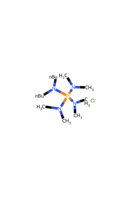 CCCCN(CCCC)[P+](N(C)C)(N(C)C)N(C)C.[Cl-]